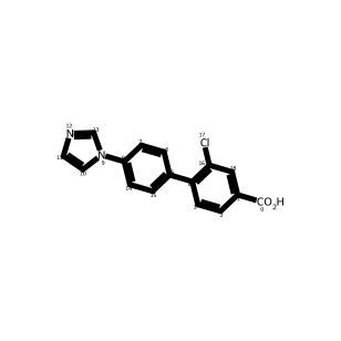 O=C(O)c1ccc(-c2ccc(-n3ccnc3)cc2)c(Cl)c1